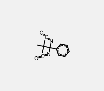 CC(C)(C)C(N=C=O)(N=C=O)c1ccccc1